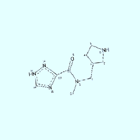 CN(CC1CCNC1)C(=O)c1nc[nH]n1